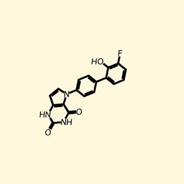 O=c1[nH]c(=O)c2c(ccn2-c2ccc(-c3cccc(F)c3O)cc2)[nH]1